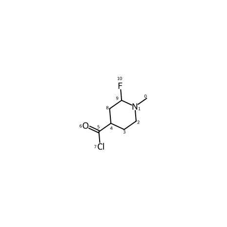 CN1CCC(C(=O)Cl)CC1F